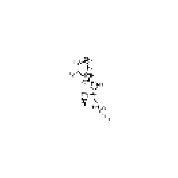 CNC[C@@H](CCC(C)(C)C)NC(=O)C1CNCC([C@@H](OCCNC(=O)OC)c2cccc(Cl)c2)C1